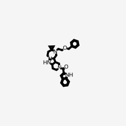 O=C(c1cc2ccccc2[nH]1)N1CCC2NN3CCC4(CC4)N(CCOCc4ccccc4)CC3C2C1